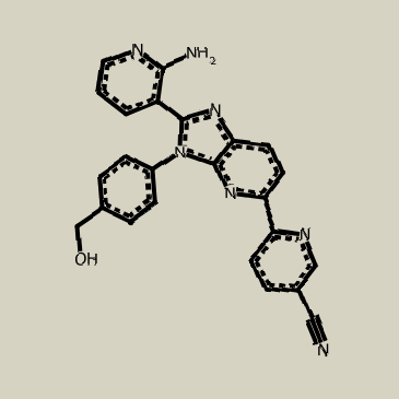 N#Cc1ccc(-c2ccc3nc(-c4cccnc4N)n(-c4ccc(CO)cc4)c3n2)nc1